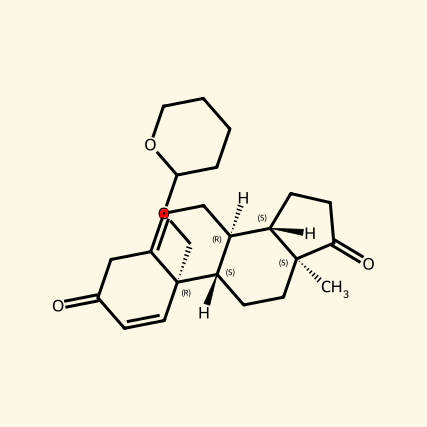 C[C@]12CC[C@H]3[C@@H](CC=C4CC(=O)C=C[C@@]43COC3CCCCO3)[C@@H]1CCC2=O